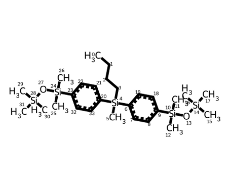 CCCC[Si](C)(c1ccc([Si](C)(C)O[Si](C)(C)C)cc1)c1ccc([Si](C)(C)O[Si](C)(C)C)cc1